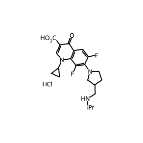 CC(C)NCC1CCN(c2c(F)cc3c(=O)c(C(=O)O)cn(C4CC4)c3c2F)C1.Cl